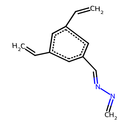 C=Cc1cc(C=C)cc(C=NN=C)c1